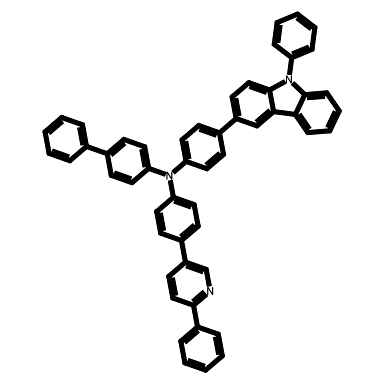 c1ccc(-c2ccc(N(c3ccc(-c4ccc(-c5ccccc5)nc4)cc3)c3ccc(-c4ccc5c(c4)c4ccccc4n5-c4ccccc4)cc3)cc2)cc1